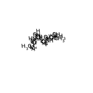 CN1CCCC1c1ccc(Nc2cc(-c3ccc(F)c(NC(=O)c4ccc(C(C)(C)C)cc4)c3)n[nH]c2=O)nc1